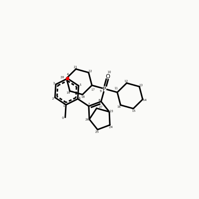 Cc1ccccc1C1=C(P(=O)(C2CCCCC2)C2CCCCC2)C2CCC1C2